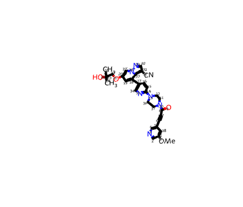 COc1cncc(C#CC(=O)N2CCN(c3ccc(-c4cc(OCC(C)(C)O)cn5ncc(C#N)c45)cn3)CC2)c1